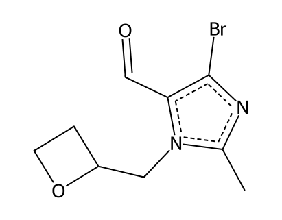 Cc1nc(Br)c(C=O)n1CC1CCO1